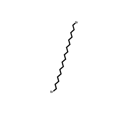 BrCCCCCCCCCCCCCCCCCCBr